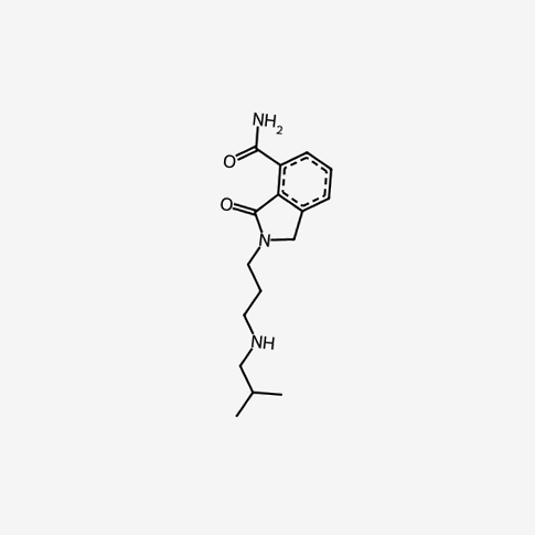 CC(C)CNCCCN1Cc2cccc(C(N)=O)c2C1=O